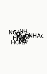 CC(=O)NC1CCN(c2nc(Nc3cc(N)cc(C#N)c3)nc3c2CCC3)C1.Cl